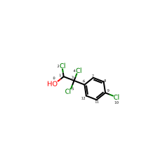 OC(Cl)C(Cl)(Cl)c1ccc(Cl)cc1